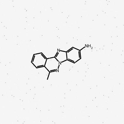 Cc1nn2c3ccc(N)cc3nc2c2ccccc12